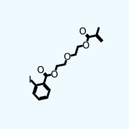 C=C(C)C(=O)OCCOCCOC(=O)c1ccccc1I